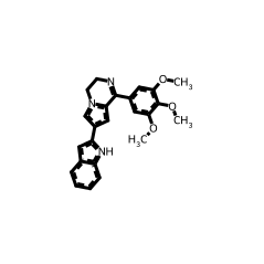 COc1cc(C2=NCCn3cc(-c4cc5ccccc5[nH]4)cc32)cc(OC)c1OC